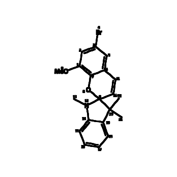 COc1cc(Br)cc2c1OC1(C=C2)N(C)c2ccccc2C1(C)C